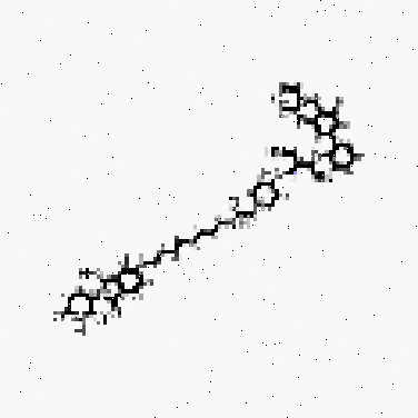 N=C/C(=C\NC1CCN(CC(=O)NCCCCCCCCNc2ccc3c(c2)C(O)N(C2CCC(=O)NC2=O)C3=O)CC1)c1cnc2cccc(-c3cc(F)c(CN4CCOCC4)c(F)c3)c2n1